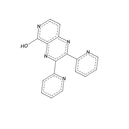 Oc1nccc2nc(-c3ccccn3)c(-c3ccccn3)nc12